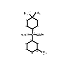 CO[Si](OC)(C1CCC(C)(C)CC1)C1CCCC(C)C1